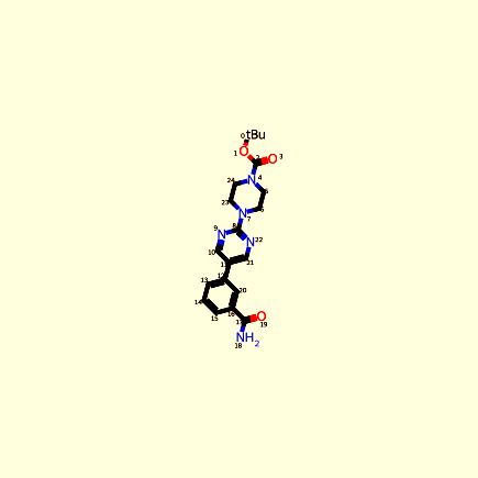 CC(C)(C)OC(=O)N1CCN(c2ncc(-c3cccc(C(N)=O)c3)cn2)CC1